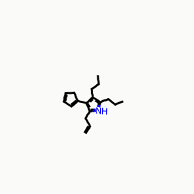 C=CCc1[nH]c(CCC)c(CCC)c1C1=CC=CC1